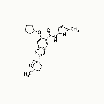 Cn1ccc(NC(=O)c2cn3cc([C@]45CC[C@](C)(C4)OC5)nc3cc2OC2CCCC2)n1